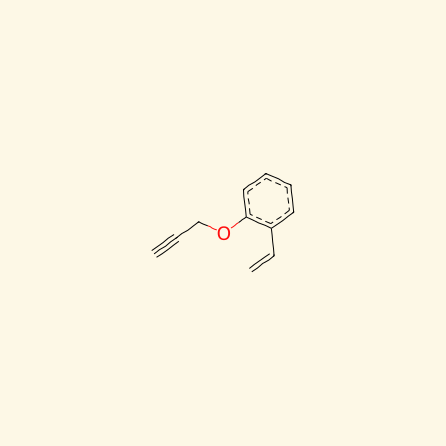 C#CCOc1ccccc1C=C